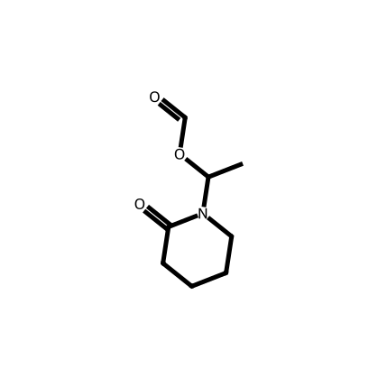 CC(OC=O)N1CCCCC1=O